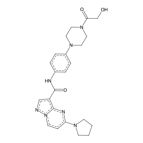 O=C(Nc1ccc(N2CCN(C(=O)CO)CC2)cc1)c1cnn2ccc(N3CCCC3)nc12